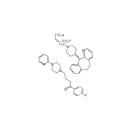 CN1CCC(=C2c3ccccc3CCc3cccnc32)CC1.O=C(CCCN1CCN(c2ccccn2)CC1)c1ccc(F)cc1.O=C(O)/C=C\C(=O)O